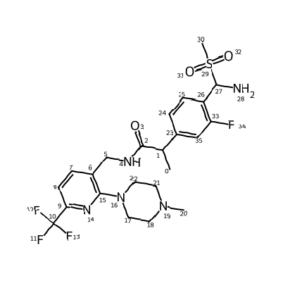 CC(C(=O)NCc1ccc(C(F)(F)F)nc1N1CCN(C)CC1)c1ccc(C(N)S(C)(=O)=O)c(F)c1